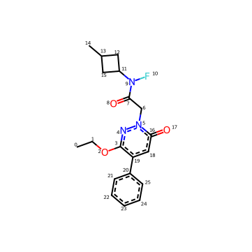 CCOc1nn(CC(=O)N(F)C2CC(C)C2)c(=O)cc1-c1ccccc1